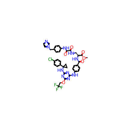 COC(=O)[C@H](CNC(=O)C(=O)Nc1ccc(Cn2ccnc2)cc1)NC(=O)c1ccc(Nc2nc(NC3(c4ccc(Cl)cc4)CC3)nc(OCC(F)(F)F)n2)cc1